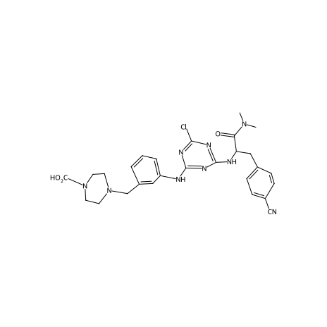 CN(C)C(=O)C(Cc1ccc(C#N)cc1)Nc1nc(Cl)nc(Nc2cccc(CN3CCN(C(=O)O)CC3)c2)n1